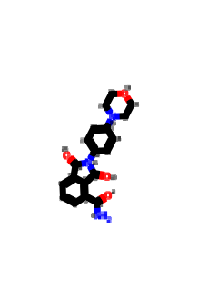 NC(=O)c1cccc2c1C(=O)N(c1ccc(N3CCOCC3)cc1)C2=O